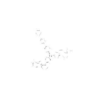 Cc1cccc2c1ccc1cc(N(c3ccc(-c4ccc(-c5ccccc5)cc4)cc3)c3ccc(-c4cccc5c4oc4ccccc45)cc3)ccc12